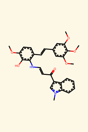 COc1ccc(C=Cc2cc(OC)c(OC)c(OC)c2)c(NC=CC(=O)c2cn(C)c3ccccc23)c1O